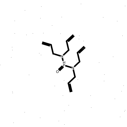 C=CCN(CC=C)[PH](=O)N(CC=C)CC=C